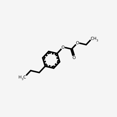 CCCc1ccc(OC(=O)OCC)cc1